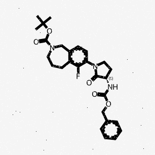 CC(C)(C)OC(=O)N1CCCc2c(ccc(N3CC[C@H](NC(=O)OCc4ccccc4)C3=O)c2F)C1